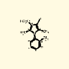 Cc1c(I)c(C(=O)O)c(C)n1-c1ccccc1C(F)(F)F